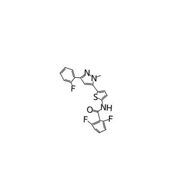 Cn1nc(-c2ccccc2F)cc1-c1ccc(NC(=O)c2c(F)cccc2F)s1